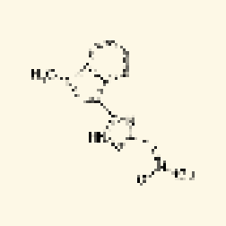 Cn1cc(-c2nc(/C=[N+](\[O-])C(C)(C)C)c[nH]2)c2ccccc21